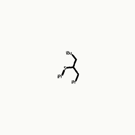 CCC(C)CC(CC(C)C)SC(C)C